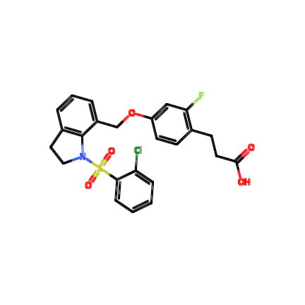 O=C(O)CCc1ccc(OCc2cccc3c2N(S(=O)(=O)c2ccccc2Cl)CC3)cc1F